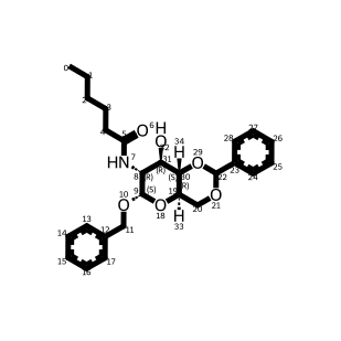 CCCCCC(=O)N[C@H]1[C@@H](OCc2ccccc2)O[C@@H]2COC(c3ccccc3)O[C@H]2[C@@H]1O